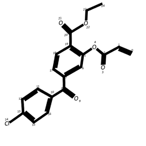 C=CC(=O)Oc1cc(C(=O)c2ccc(Cl)cc2)ccc1C(=O)OCC